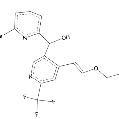 CCO/C=C/c1cc(C(F)(F)F)ncc1C(O)c1cccc(Br)n1